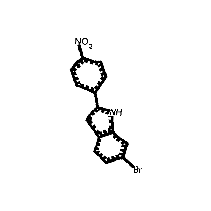 O=[N+]([O-])c1ccc(-c2cc3ccc(Br)cc3[nH]2)cc1